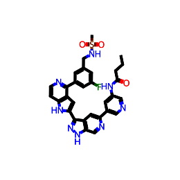 CCCC(=O)Nc1cncc(-c2cc3c(-c4cc5c(-c6cc(F)cc(CNS(C)(=O)=O)c6)nccc5[nH]4)n[nH]c3cn2)c1